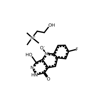 C[N+](C)(C)CCO.O=c1[nH]nc(O)c2c1cc1cc(F)ccc1[n+]2[O-]